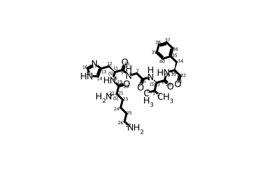 CC(C)[C@H](NC(=O)CNC(=O)[C@H](Cc1c[nH]cn1)NC(=O)[C@@H](N)CCCCN)C(=O)N[C@H]([C]=O)Cc1ccccc1